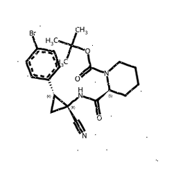 CC(C)(C)OC(=O)N1CCCC[C@H]1C(=O)N[C@]1(C#N)C[C@@H]1c1ccc(Br)cc1